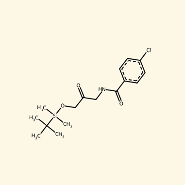 CC(C)(C)[Si](C)(C)OCC(=O)CNC(=O)c1ccc(Cl)cc1